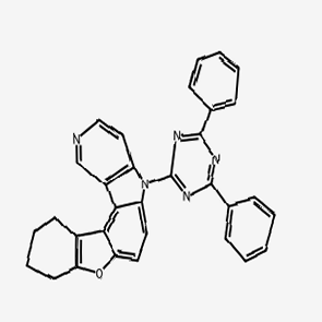 c1ccc(-c2nc(-c3ccccc3)nc(-n3c4ccncc4c4c5c6c(oc5ccc43)CCCC6)n2)cc1